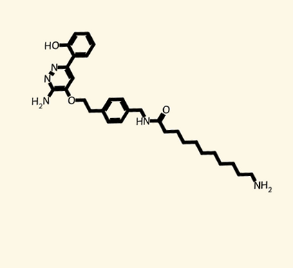 NCCCCCCCCCCC(=O)NCc1ccc(CCOc2cc(-c3ccccc3O)nnc2N)cc1